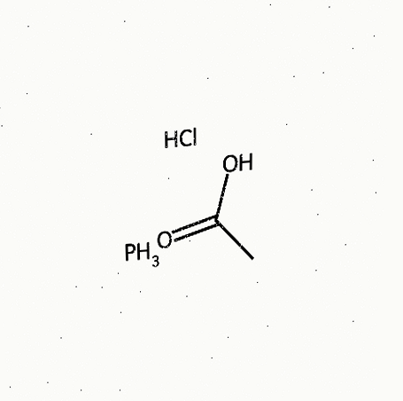 CC(=O)O.Cl.P